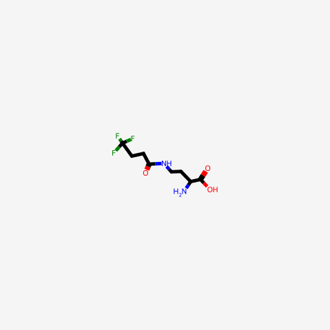 NC(CCNC(=O)CCC(F)(F)F)C(=O)O